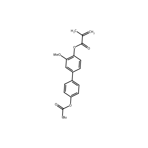 C=C(C)C(=O)Oc1ccc(-c2ccc(OC(=O)C(C)(C)C)cc2)cc1OC